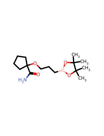 CC1(C)OB(CCCOC2(C(N)=O)CCCC2)OC1(C)C